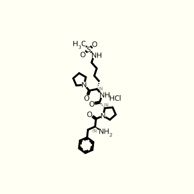 CS(=O)(=O)NCCCC[C@H](NC(=O)[C@@H]1CCCN1C(=O)[C@@H](N)Cc1ccccc1)C(=O)N1CCCC1.Cl